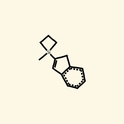 C[Si]1(C2=Cc3ccccc3[CH]2)CCC1